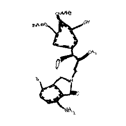 C=C(CN1Cc2c(Br)ccc(N)c2C1=O)C(=O)c1cc(O)c(OC)c(OC)c1